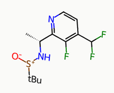 C[C@@H](N[S+]([O-])C(C)(C)C)c1nccc(C(F)F)c1F